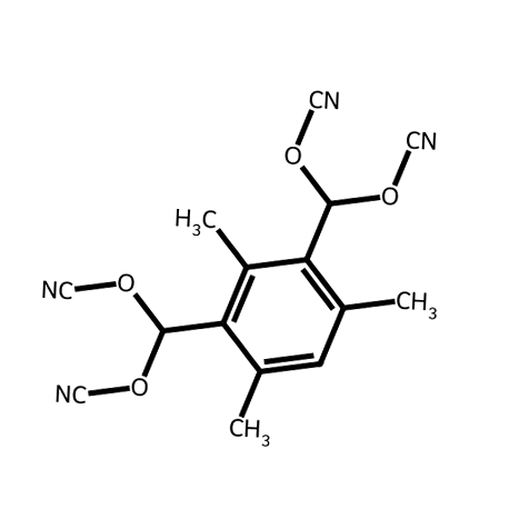 Cc1cc(C)c(C(OC#N)OC#N)c(C)c1C(OC#N)OC#N